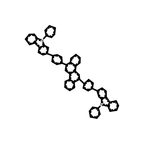 c1ccc(-n2c3ccccc3c3ccc(-c4ccc(-c5cc6c7ccccc7c(-c7ccc(-c8ccc9c%10ccccc%10n(-c%10ccccc%10)c9c8)cc7)cc6c6ccccc56)cc4)cc32)cc1